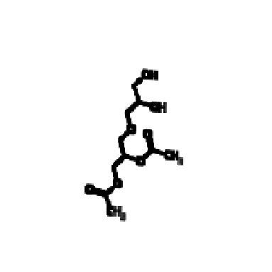 CC(=O)OCC(COCC(O)CO)OC(C)=O